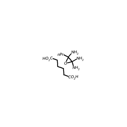 CCCC1(N)OC1(N)N.O=C(O)CCCCC(=O)O